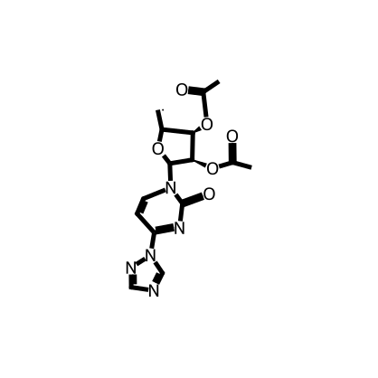 [CH2]C1OC(n2ccc(-n3cncn3)nc2=O)[C@H](OC(C)=O)[C@@H]1OC(C)=O